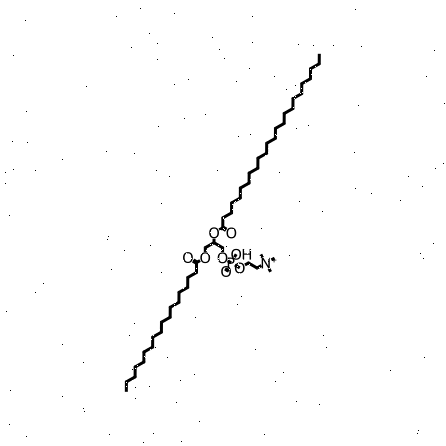 CCCCCCCCCCCCCCCCCCCCCCCC(=O)OC(COC(=O)CCCCCCCCCCCCCCCCC)COP(=O)(O)OCC[N+](C)(C)C